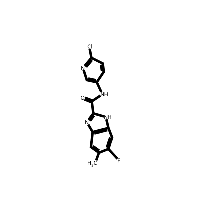 Cc1cc2nc(C(=O)Nc3ccc(Cl)nc3)[nH]c2cc1F